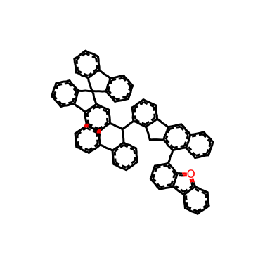 c1ccc(-c2ccccc2C(c2ccc3c(c2)C2(c4ccccc4-c4ccccc42)c2ccccc2-3)c2cccc3c2Cc2c-3cc3ccccc3c2-c2cccc3c2oc2ccccc23)cc1